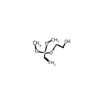 C=C[Si](OC)(OC)OCCO